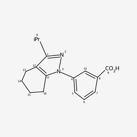 CC(C)c1nn(-c2cccc(C(=O)O)c2)c2c1CCCC2